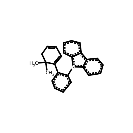 CC1(C)CC=CC=C1c1ccccc1-n1c2ccccc2c2ccccc21